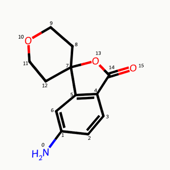 Nc1ccc2c(c1)C1(CCOCC1)OC2=O